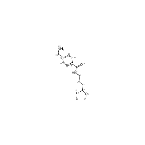 COC(CCCNC(=O)c1ccc(CN)cc1)OC